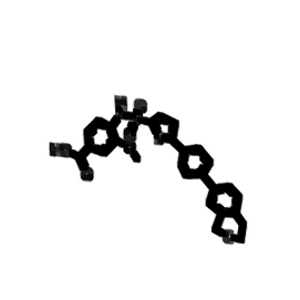 COc1cc(C(=O)O)ccc1NS(=O)(=O)c1ccc(-c2ccc(-c3ccc4c(c3)CCCC4)cc2)s1